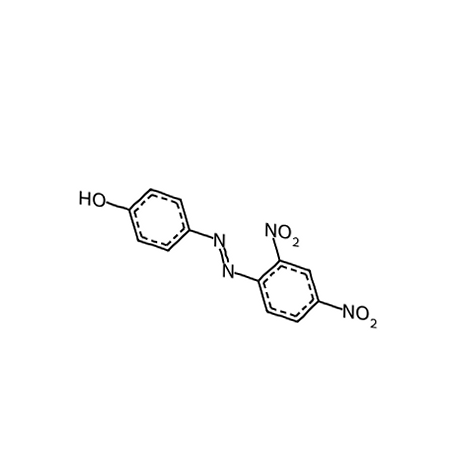 O=[N+]([O-])c1ccc(/N=N/c2ccc(O)cc2)c([N+](=O)[O-])c1